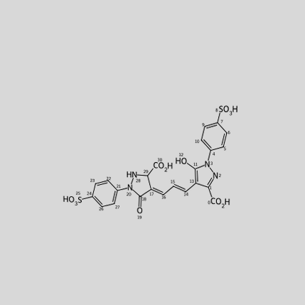 O=C(O)c1nn(-c2ccc(S(=O)(=O)O)cc2)c(O)c1C=CC=C1C(=O)N(c2ccc(S(=O)(=O)O)cc2)NC1C(=O)O